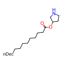 CCCCCCCCCCCCCCCCCCC(=O)OC1C[CH]NC1